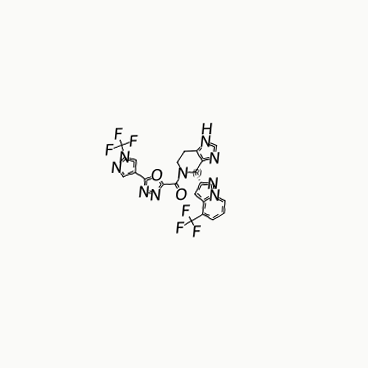 O=C(c1nnc(-c2cnn(C(F)(F)F)c2)o1)N1CCc2[nH]cnc2[C@@H]1c1cc2c(C(F)(F)F)cccn2n1